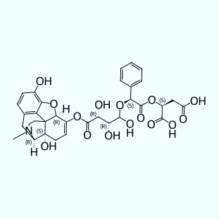 CN1CCC23c4c5ccc(O)c4O[C@H]2C(OC(=O)[C@H](O)[C@@H](O)C(O)O[C@H](C(=O)O[C@@H](CC(=O)O)C(=O)O)c2ccccc2)=CC[C@@]3(O)[C@H]1C5